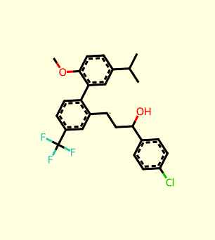 COc1ccc(C(C)C)cc1-c1ccc(C(F)(F)F)cc1[CH]CC(O)c1ccc(Cl)cc1